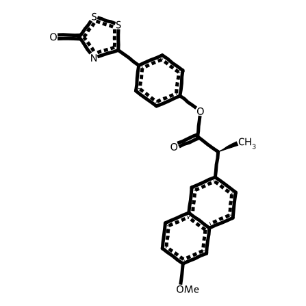 COc1ccc2cc([C@H](C)C(=O)Oc3ccc(-c4nc(=O)ss4)cc3)ccc2c1